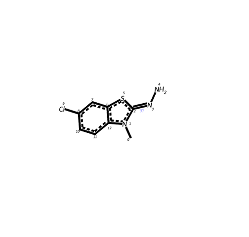 Cn1/c(=N/N)sc2cc(Cl)ccc21